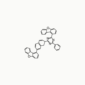 C1=CC(c2nc(-c3ccccc3)nc(-c3cccc4oc5ccccc5c34)n2)Cc2cc(-c3cccc4oc5ccccc5c34)ccc21